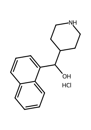 Cl.OC(c1cccc2ccccc12)C1CCNCC1